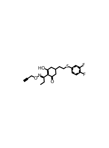 C#CCO/N=C(\CC)C1=C(O)CC(CCSc2ccc(F)c(F)c2)CC1=O